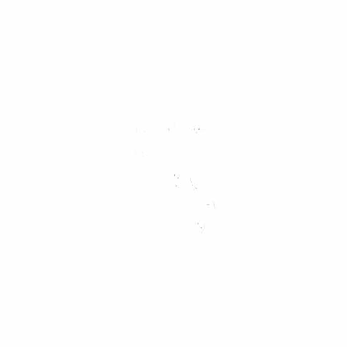 CSC1O[C@H]([C@H](NC(=O)[C@H]2NC[C@@H]3CNCCO[C@H]32)[C@H](C)Cl)C(O)C(O)[C@H]1O